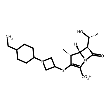 C[C@@H](O)[C@H]1C(=O)N2C(C(=O)O)=C(SC3CN(C4CCC(CN)CC4)C3)[C@H](C)[C@H]12